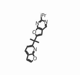 CC(C)c1ncc2cc(C(C)(C)c3ccc4ccoc4n3)oc2n1